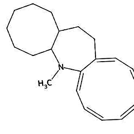 CN1c2ccccccccc2CCC2CCCCCCC21